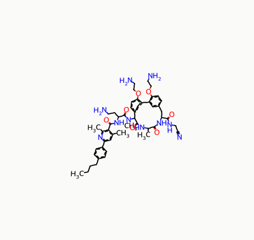 CCCCc1ccc(-c2cc(C)c(C(=O)NC(CCN)C(=O)N(C)C3C(=O)NC(C)C(=O)NC(C(=O)NCC#N)Cc4ccc(OCCN)c(c4)-c4cc3ccc4OCCN)c(C)n2)cc1